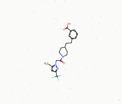 Cc1cc(C(F)(F)F)nn1CC(=O)N1CCC(CCc2cccc(C(=O)O)c2)CC1